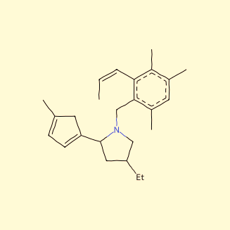 C/C=C\c1c(C)c(C)cc(C)c1CN1CC(CC)CC1C1=CC=C(C)C1